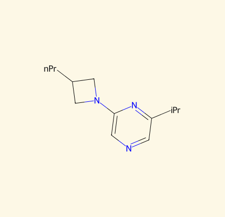 CCCC1CN(c2cncc(C(C)C)n2)C1